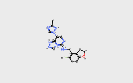 Cc1ncn(-c2cnc(NCc3c(F)ccc4c3CCO4)n3cnnc23)n1